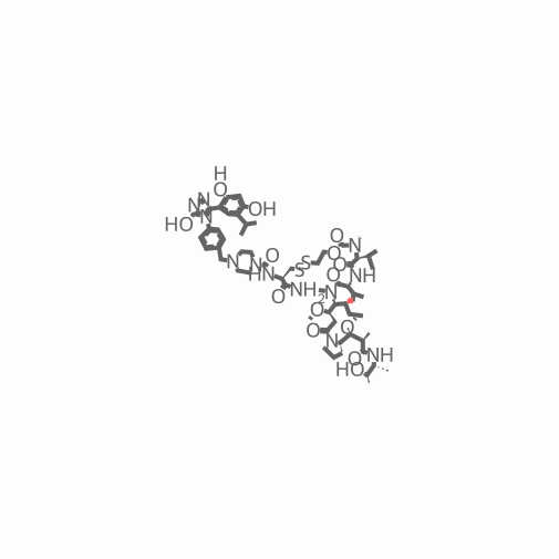 CC[C@H](C)[C@@H]([C@@H](CC(=O)N1CCC[C@H]1[C@H](OC)[C@@H](C)C(=O)N[C@H](C)[C@H](C)O)OC)N(C)C(=O)[C@@H](NC(=O)[C@H](C(C)C)N(C)C(=O)OCCSSC[C@H](NC(=O)N1CCN(Cc2ccc(-n3c(O)nnc3-c3cc(C(C)C)c(O)cc3O)cc2)CC1)C(N)=O)C(C)C